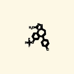 Cc1nnc2n1-c1ccc(OC(F)(F)F)cc1C(c1ccc(Cl)cc1)=C[CH]2